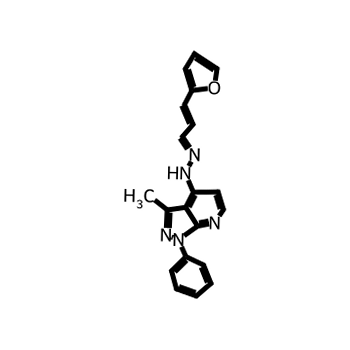 Cc1nn(-c2ccccc2)c2nccc(NN=CC=Cc3ccco3)c12